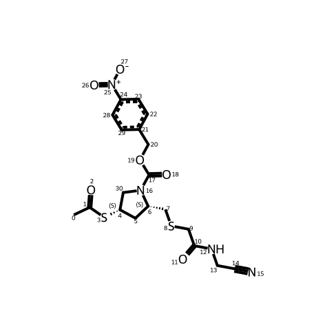 CC(=O)S[C@H]1C[C@@H](CSCC(=O)NCC#N)N(C(=O)OCc2ccc([N+](=O)[O-])cc2)C1